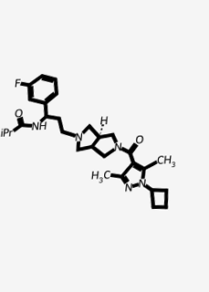 Cc1nn(C2CCC2)c(C)c1C(=O)N1CC2CN(CCC(NC(=O)C(C)C)c3cccc(F)c3)C[C@H]2C1